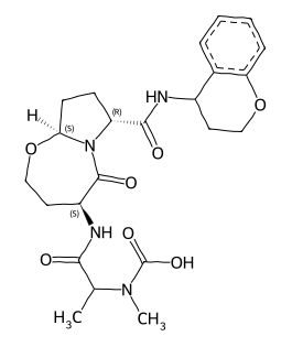 CC(C(=O)N[C@H]1CCO[C@H]2CC[C@H](C(=O)NC3CCOc4ccccc43)N2C1=O)N(C)C(=O)O